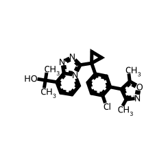 Cc1noc(C)c1-c1cc(C2(c3nnc4c(C(C)(C)O)cccn34)CC2)ccc1Cl